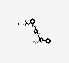 COC(=O)Cc1ccccc1OCc1cc(OCc2nc(-c3ccccc3)sc2C)no1